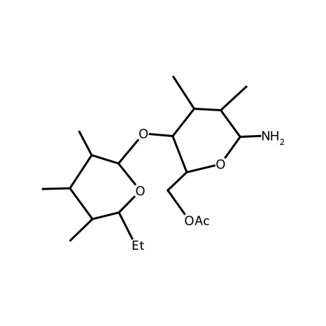 CCC1OC(OC2C(COC(C)=O)OC(N)C(C)C2C)C(C)C(C)C1C